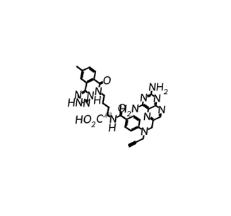 C#CCN(Cc1cnc2nc(N)nc(N)c2n1)c1ccc(C(=O)N[C@@H](CCCNC(=O)c2ccc(C)cc2-c2nn[nH]n2)C(=O)O)cc1